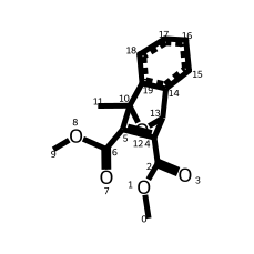 COC(=O)C1=C(C(=O)OC)C2(C)OC1c1ccccc12